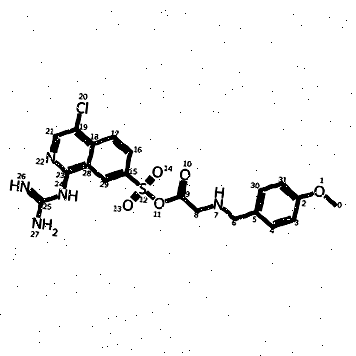 COc1ccc(CNCC(=O)OS(=O)(=O)c2ccc3c(Cl)cnc(NC(=N)N)c3c2)cc1